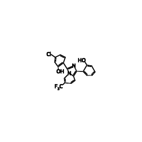 Oc1ccccc1-c1nc(-c2ccc(Cl)cc2O)n2cc(C(F)(F)F)ccc12